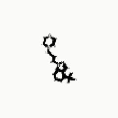 CC(C)(C)c1cccc2c1cnn2CCCN1CCOCC1